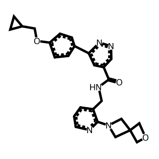 O=C(NCc1cccnc1N1CC2(COC2)C1)c1cnnc(-c2ccc(OCC3CC3)cc2)c1